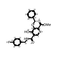 COC(=O)c1ncc(C(=O)NCc2ccc(F)cc2)c(O)c1OCc1ccccc1